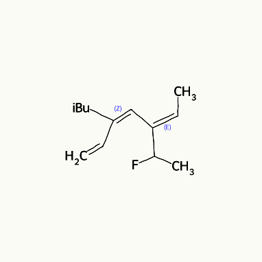 C=C/C(=C\C(=C/C)C(C)F)C(C)CC